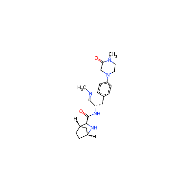 C/N=C/[C@H](Cc1ccc(N2CCN(C)C(=O)C2)cc1)NC(=O)[C@H]1N[C@@H]2CC[C@H]1C2